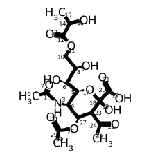 CC(=O)N[C@H]1[C@H]([C@H](O)[C@H](O)COC(=O)C(C)O)OC(O)(C(=O)O)C(C(C)=O)[C@@H]1OC(C)=O